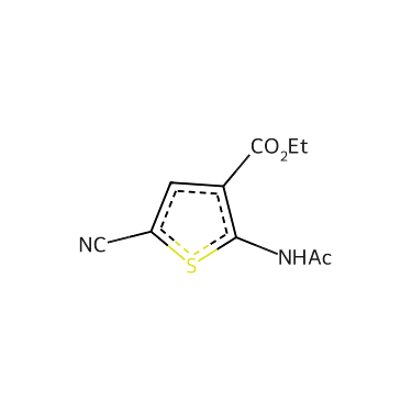 CCOC(=O)c1cc(C#N)sc1NC(C)=O